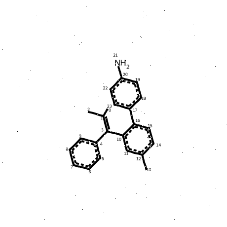 CC(C)=C(c1ccccc1)c1cc(C)ccc1-c1ccc(N)cc1